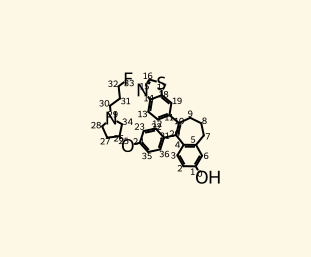 Oc1ccc2c(c1)CCCC(c1ccc3ncsc3c1)=C2c1ccc(O[C@H]2CCN(CCCF)C2)cc1